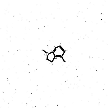 CB1CCc2c(C)cccc21